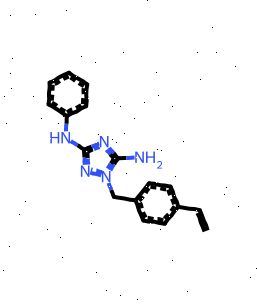 C=Cc1ccc(Cn2nc(Nc3ccccc3)nc2N)cc1